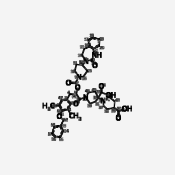 Cc1cc(C[C@@H](OC(=O)N2CCC(N3CCc4ccccc4NC3=O)CC2)C(=O)N2CCC(C(=O)O)([N+]3CCC(C(=O)O)CC3)CC2)cc(C)c1OCc1ccccc1